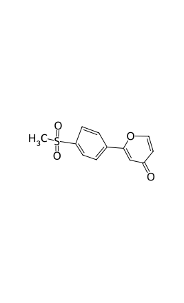 CS(=O)(=O)c1ccc(-c2cc(=O)cco2)cc1